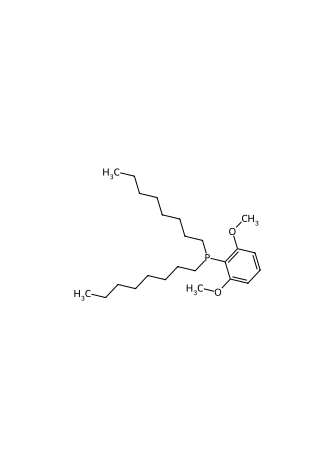 CCCCCCCCP(CCCCCCCC)c1c(OC)cccc1OC